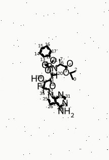 CC(C)OC(=O)[C@H](C)NP(=O)(Oc1ccccc1)OC(C)[C@H]1O[C@@H](n2ccc3c(N)ncnc32)[C@](C)(F)[C@@H]1O